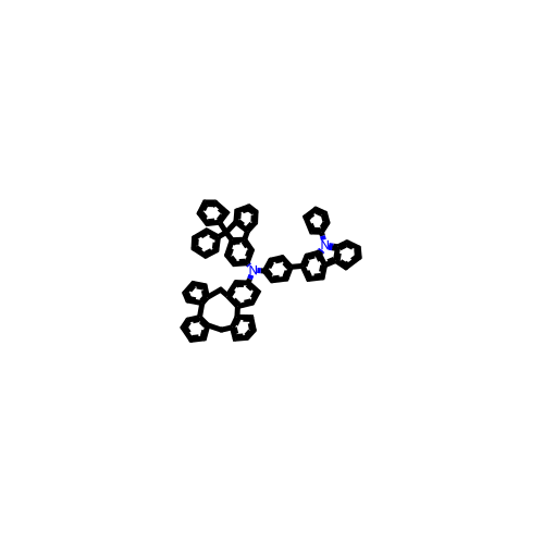 c1ccc(-n2c3ccccc3c3ccc(-c4ccc(N(c5ccc6c(c5)Cc5ccccc5-c5ccccc5Cc5ccccc5-6)c5ccc6c(c5)-c5ccccc5C6(c5ccccc5)c5ccccc5)cc4)cc32)cc1